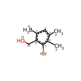 Bc1cc(C)c(C)c(Br)c1CO